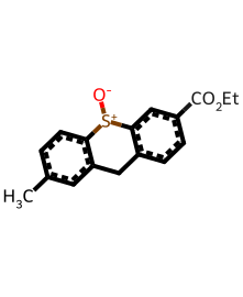 CCOC(=O)c1ccc2c(c1)[S+]([O-])c1ccc(C)cc1C2